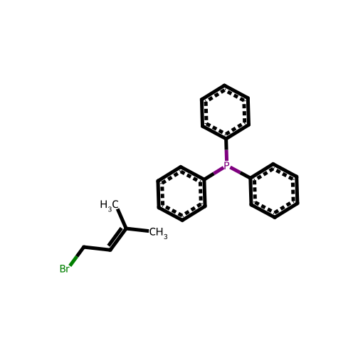 CC(C)=CCBr.c1ccc(P(c2ccccc2)c2ccccc2)cc1